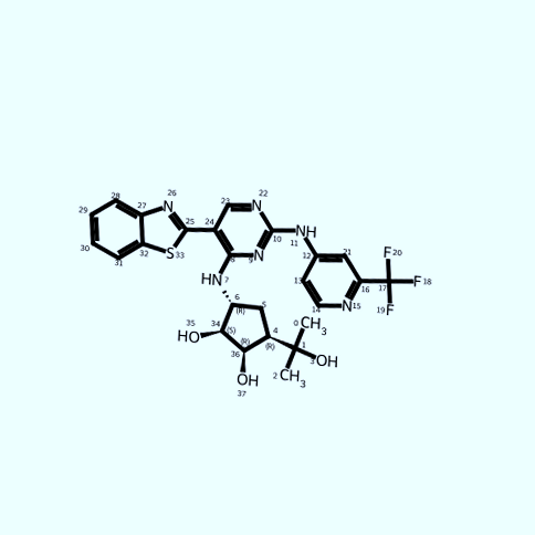 CC(C)(O)[C@@H]1C[C@@H](Nc2nc(Nc3ccnc(C(F)(F)F)c3)ncc2-c2nc3ccccc3s2)[C@H](O)[C@@H]1O